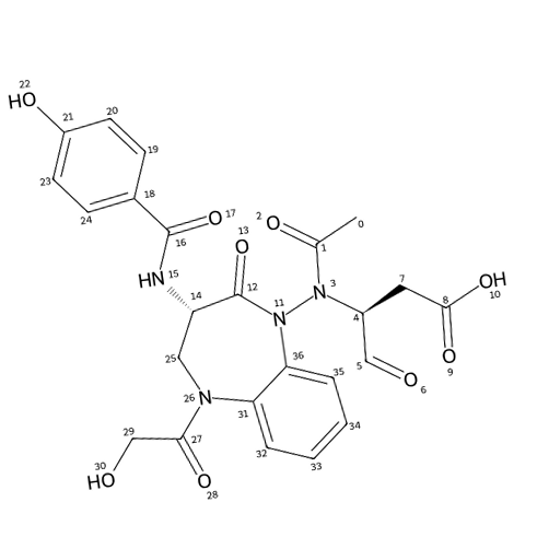 CC(=O)N([C@H](C=O)CC(=O)O)N1C(=O)[C@@H](NC(=O)c2ccc(O)cc2)CN(C(=O)CO)c2ccccc21